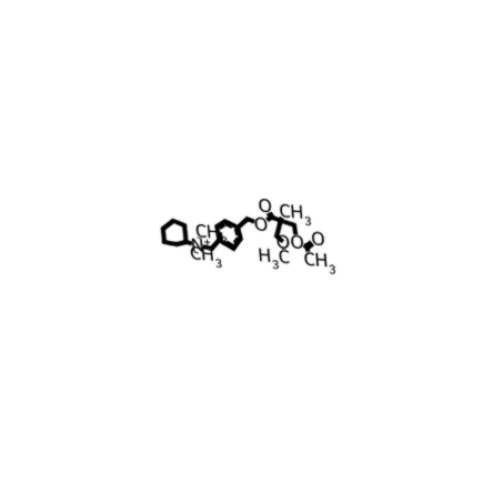 COCC(C)(COC(C)=O)C(=O)OCc1ccc(C[N+](C)(C)C2CCCCC2)cc1